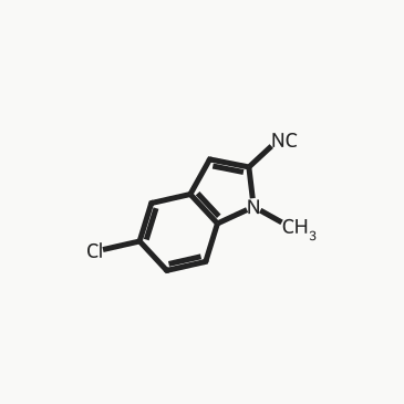 [C-]#[N+]c1cc2cc(Cl)ccc2n1C